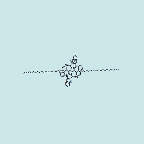 CCCCCCCCCCCCCCCCCCOc1cccc(-c2c3/c(=C(\C#N)c4nc5ccccc5s4)n(B(c4ccccc4)c4ccccc4)c(-c4cccc(OCCCCCCCCCCCCCCCCCC)c4)c3/c(=C(\C#N)c3nc4ccccc4s3)n2B(c2ccccc2)c2ccccc2)c1